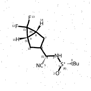 CC(C)(C)[S@+]([O-])N[C@H](C#N)C1C[C@@H]2[C@H](C1)C2(F)F